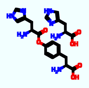 N[C@@H](Cc1c[nH]cn1)C(=O)O.N[C@@H](Cc1ccc(OC(=O)[C@@H](N)Cc2c[nH]cn2)cc1)C(=O)O